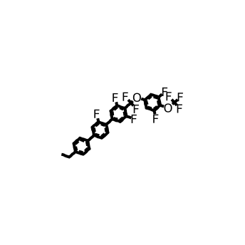 CCc1ccc(-c2ccc(-c3cc(F)c(C(F)(F)Oc4cc(F)c(OC(F)(F)F)c(F)c4)c(F)c3)c(F)c2)cc1